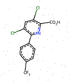 O=C(O)c1nc(-c2ccc(C(F)(F)F)cc2)c(Cl)cc1Cl